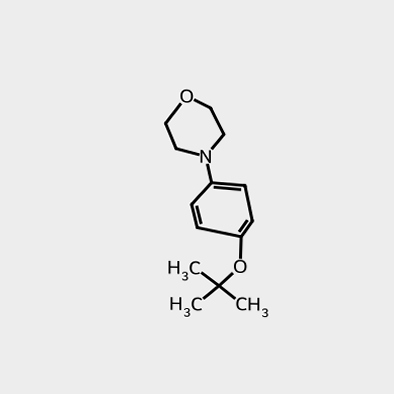 CC(C)(C)Oc1ccc(N2CCOCC2)cc1